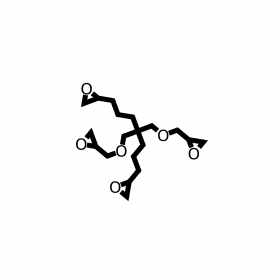 C(CC1CO1)CC(CCCC1CO1)(COCC1CO1)COCC1CO1